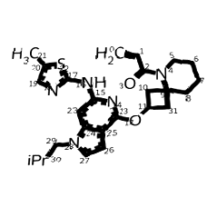 C=CC(=O)N1CCCCC12CC(Oc1nc(Nc3ncc(C)s3)cc3c1ccn3CC(C)C)C2